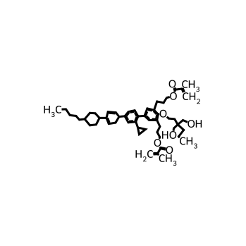 C=C(C)C(=O)OCCCc1cc(-c2ccc(C3C=CC(C4CCC(CCCCC)CC4)=CC3)cc2C2CC2)cc(CCCOC(=O)C(=C)C)c1OCCC(CO)(CO)CCC